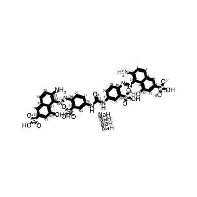 Nc1ccc2cc(S(=O)(=O)O)cc(O)c2c1/N=N/c1ccc(NC(=O)Nc2ccc(/N=N/c3c(N)ccc4cc(S(=O)(=O)O)cc(O)c34)c(S(=O)(=O)O)c2)cc1S(=O)(=O)O.[NaH].[NaH].[NaH].[NaH]